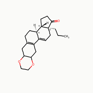 CCC[C@]12CC=C3C4=C(CC[C@H]3[C@@H]1CCC2=O)CC1OCCOC1C4